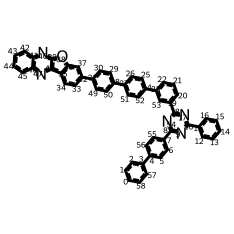 c1ccc(-c2ccc(-c3nc(-c4ccccc4)nc(-c4cccc(-c5ccc(-c6ccc(-c7ccc8c(c7)oc7nc9ccccc9nc78)cc6)cc5)c4)n3)cc2)cc1